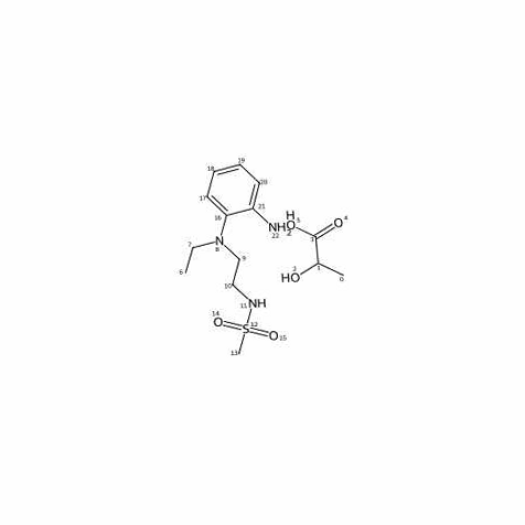 CC(O)C(=O)O.CCN(CCNS(C)(=O)=O)c1ccccc1N